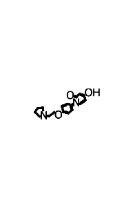 O=c1cc(O)ccn1-c1ccc(OCCN2CCCC2)cc1